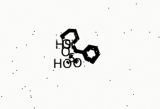 O=S(=O)(O)C(c1ccccc1)[SiH]1CCCCO1